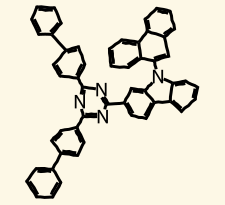 c1ccc(-c2ccc(-c3nc(-c4ccc(-c5ccccc5)cc4)nc(-c4ccc5c6ccccc6n(-c6cc7ccccc7c7ccccc67)c5c4)n3)cc2)cc1